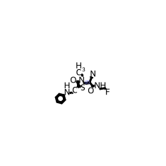 CCn1c(=O)c(=C=CNc2ccccc2)s/c1=C(/C#N)C(=O)NCCF